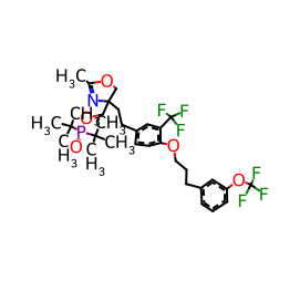 CC1=NC(CCc2ccc(OCCCc3cccc(OC(F)(F)F)c3)c(C(F)(F)F)c2)(COP(=O)(C(C)(C)C)C(C)(C)C)CO1